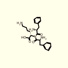 NCCCC[C@@H](C(=O)O)N(C(=O)[C@@H](N)Cc1ccccc1)C(=O)[C@@H](N)Cc1ccccc1